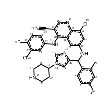 Cc1cc(F)ccc1C(Nc1cc(Cl)c2ncc(C#N)c(Nc3ccc(F)c(Cl)c3)c2c1)c1cn(C2CCNCC2)nn1